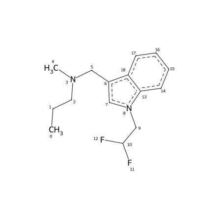 CCCN(C)Cc1cn(CC(F)F)c2ccccc12